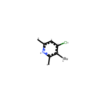 Cc1cc(Cl)c(C(C)(C)C)c(C)n1